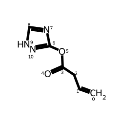 C=CCC(=O)Oc1nc[nH]n1